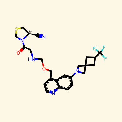 N#C[C@@H]1CSCN1C(=O)CNCOCc1ccnc2ccc(N3CC4(CC(C(F)(F)F)C4)C3)cc12